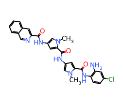 Cn1cc(NC(=O)c2cc3ccccc3cn2)cc1C(=O)Nc1cc(C(=O)Nc2ccc(Cl)cc2N)n(C)c1